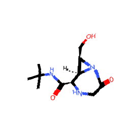 CC(C)(C)NC(=O)[C@@H]1NCC(=O)N2[C@@H]1[C@H]2CO